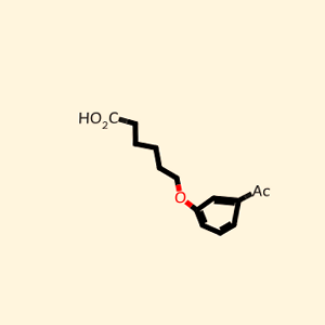 CC(=O)c1cccc(OCCCCCC(=O)O)c1